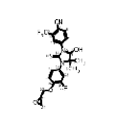 CC1(C)C(O)N(c2ccc(C#N)c(C(F)(F)F)c2)C(=S)N1c1ccc(OCC2CO2)c(F)c1